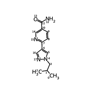 CC(C)Cn1cc(-c2ccc(C(N)=O)cn2)cn1